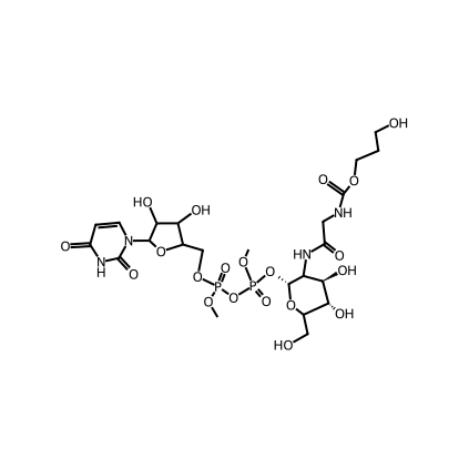 COP(=O)(OCC1OC(n2ccc(=O)[nH]c2=O)C(O)C1O)OP(=O)(OC)O[C@H]1OC(CO)[C@@H](O)[C@H](O)C1NC(=O)CNC(=O)OCCCO